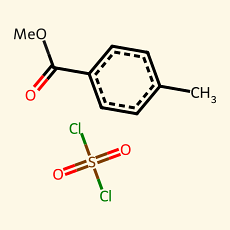 COC(=O)c1ccc(C)cc1.O=S(=O)(Cl)Cl